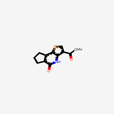 COC(=O)c1csc2c3c(c(=O)[nH]c12)CCC3